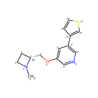 CN1CC[C@@H]1COc1cncc(-c2ccsc2)c1